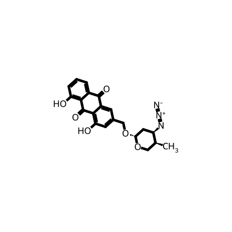 C[C@H]1CO[C@H](OCc2cc(O)c3c(c2)C(=O)c2cccc(O)c2C3=O)C[C@H]1N=[N+]=[N-]